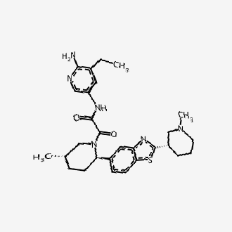 CCc1cc(NC(=O)C(=O)N2C[C@@H](C)CC[C@@H]2c2ccc3sc([C@H]4CCCN(C)C4)nc3c2)cnc1N